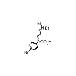 CCN(CC)CCCN(C(=O)O)c1ccc(Br)nc1